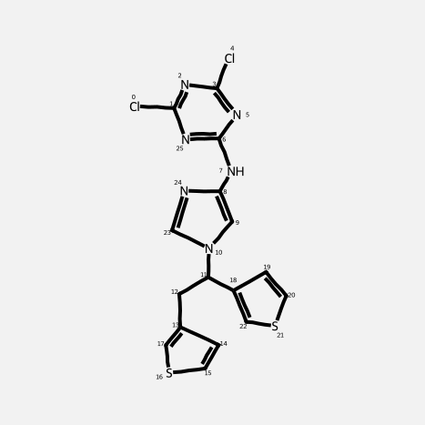 Clc1nc(Cl)nc(Nc2cn(C(Cc3ccsc3)c3ccsc3)cn2)n1